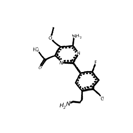 COc1c(N)nc(-c2cc(CN)c(Cl)cc2F)nc1C(=O)O